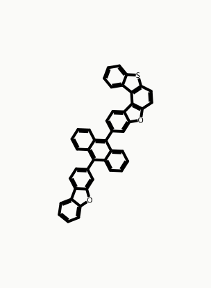 c1ccc2c(c1)oc1cc(-c3c4ccccc4c(-c4ccc5c(c4)oc4ccc6sc7ccccc7c6c45)c4ccccc34)ccc12